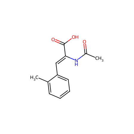 CC(=O)NC(=Cc1ccccc1C)C(=O)O